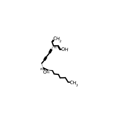 C=C[C@@H](C#CC#CC[C@H]1O[C@@H]1CCCCCCC)C=CO